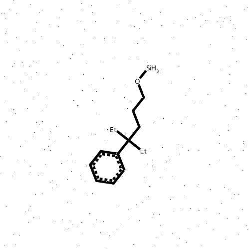 CCC(CC)(CCCO[SiH3])c1ccccc1